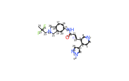 Cn1cc(-c2ccncc2/C=C/C(=O)Nc2ccc3c(c2)CN(CC(C)(F)F)C3)cn1